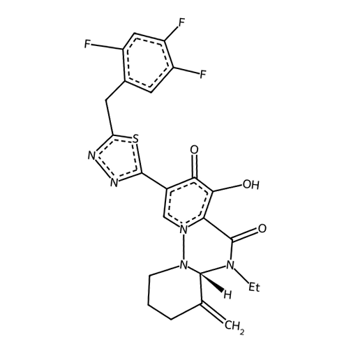 C=C1CCCN2[C@@H]1N(CC)C(=O)c1c(O)c(=O)c(-c3nnc(Cc4cc(F)c(F)cc4F)s3)cn12